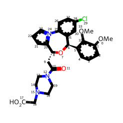 COc1cccc([C@H]2O[C@H](CC(=O)N3CCN(CC(=O)O)CC3)c3cccn3-c3ccc(Cl)cc32)c1OC